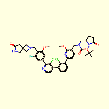 COc1cc(-c2nccc(-c3cccc(-c4ccc(CN(C[C@@H]5CCC(=O)N5)C(=O)OC(C)(C)C)c(OC)n4)c3Cl)c2Cl)cc(F)c1CN1CC2(CNC(=O)C2)C1